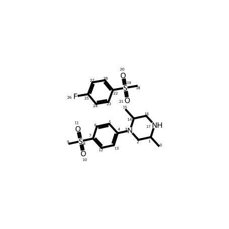 CC1CN(c2ccc(S(C)(=O)=O)cc2)C(C)CN1.CS(=O)(=O)c1ccc(F)cc1